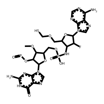 COC1C(COP(=O)(O)NC2C(COCS)OC(n3cnc4c(N)ncnc43)C2F)OC(n2cnc3c(=O)[nH]c(N)nc32)C1OP=O